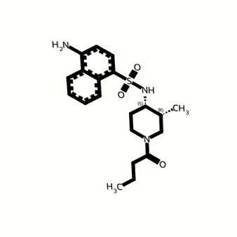 CCCC(=O)N1CC[C@H](NS(=O)(=O)c2ccc(N)c3ccccc23)[C@H](C)C1